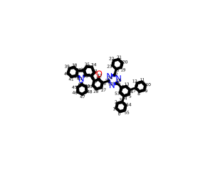 c1ccc(-c2cc(-c3ccccc3)cc(-c3nc(-c4ccccc4)nc(-c4cccc5c4oc4ccc6c7ccccc7n(-c7ccccc7)c6c45)n3)c2)cc1